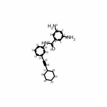 Nc1cc(N)cc(C(=O)Nc2cccc(C#CC3CCCCC3)c2)c1